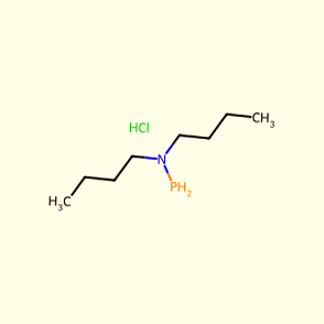 CCCCN(P)CCCC.Cl